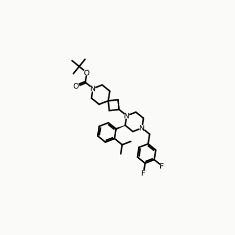 CC(C)c1ccccc1[C@@H]1CN(Cc2ccc(F)c(F)c2)CCN1C1CC2(CCN(C(=O)OC(C)(C)C)CC2)C1